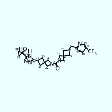 O=C(N1CC2(CC(Cc3ccc(C(F)(F)F)cn3)C2)C1)N1CC2(CC(c3nnc(C4(O)CC4)[nH]3)C2)C1